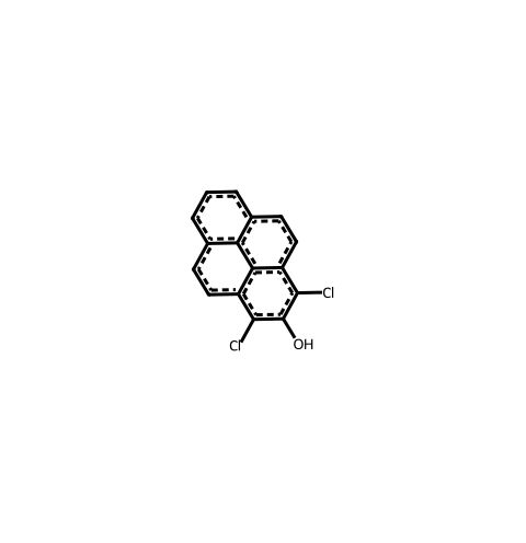 Oc1c(Cl)c2ccc3cccc4ccc(c1Cl)c2c34